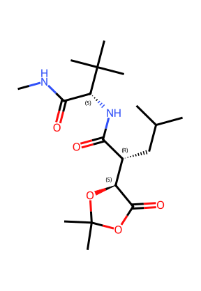 CNC(=O)[C@@H](NC(=O)[C@H](CC(C)C)[C@@H]1OC(C)(C)OC1=O)C(C)(C)C